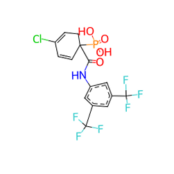 O=C(Nc1cc(C(F)(F)F)cc(C(F)(F)F)c1)C1(P(=O)(O)O)C=CC(Cl)=CC1